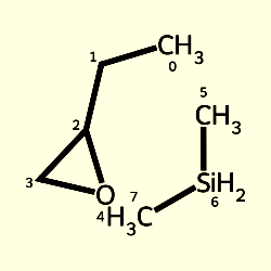 CCC1CO1.C[SiH2]C